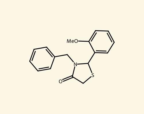 COc1ccccc1C1SCC(=O)N1Cc1ccccc1